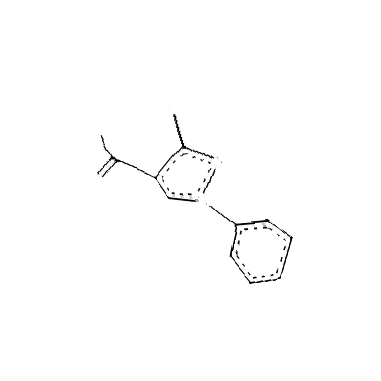 CC(=O)c1cn(-c2ccccc2)nc1Br